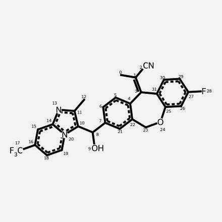 CC(C#N)=C1c2ccc(C(O)c3c(C)nc4cc(C(F)(F)F)ccn34)cc2COc2cc(F)ccc21